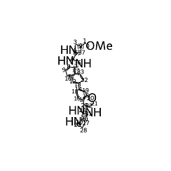 COC[C@@H]1CN[C@H](C2Nc3ccc4cc(-c5ccc6c(c5)OCC5=C6NC([C@@H]6CCCN6)N5)ccc4c3N2)C1